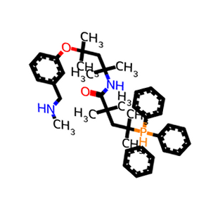 CNCc1cccc(OC(C)(C)CC(C)(C)NC(=O)C(C)(C)CC(C)(C)[PH](c2ccccc2)(c2ccccc2)c2ccccc2)c1